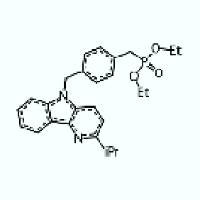 CCOP(=O)(Cc1ccc(Cn2c3ccccc3c3nc(C(C)C)ccc32)cc1)OCC